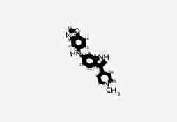 CN1CCC(c2c[nH]c3cc(Nc4ccc5ocnc5c4)ccc23)CC1